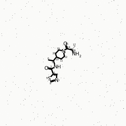 CC(NC(=O)c1cncs1)C1CCN(C(=O)[C@H](C)N)CC1